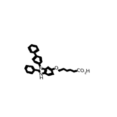 O=C(O)CCCCCOc1ccc2c(c1)N(c1ccc(-c3ccccc3)cc1)C(c1ccccc1)N2